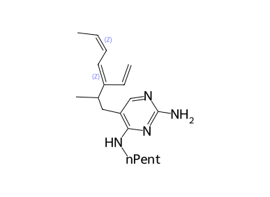 C=C/C(=C\C=C/C)C(C)Cc1cnc(N)nc1NCCCCC